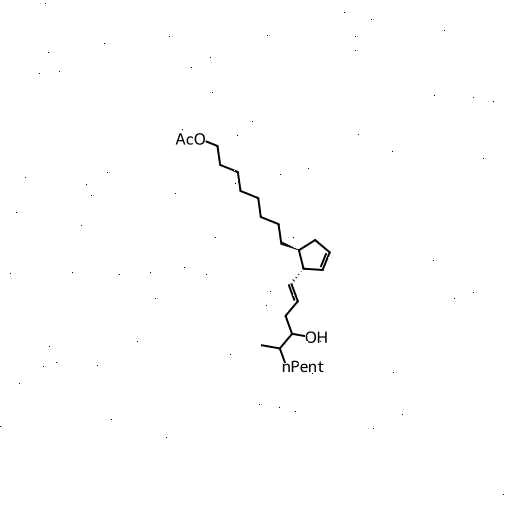 CCCCCC(C)C(O)C/C=C/[C@H]1C=CC[C@@H]1CCCCCCCCOC(C)=O